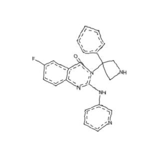 O=c1c2cc(F)ccc2nc(Nc2cccnc2)n1C1(c2ccccc2)CNC1